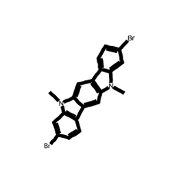 Cn1c2cc(Br)ccc2c2cc3c(cc21)c1ccc(Br)cc1n3C